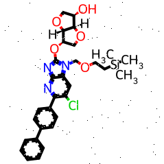 C[Si](C)(C)CCOCn1c(O[C@@H]2CO[C@H]3[C@H]2OC[C@H]3O)nc2nc(-c3ccc(-c4ccccc4)cc3)c(Cl)cc21